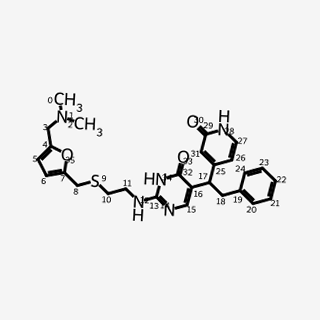 CN(C)Cc1ccc(CSCCNc2ncc(C(Cc3ccccc3)c3cc[nH]c(=O)c3)c(=O)[nH]2)o1